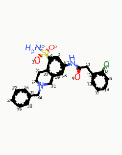 NS(=O)(=O)c1cc(NC(=O)Cc2ccccc2Cl)cc2c1CCN(Cc1ccccc1)C2